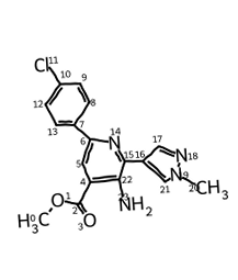 COC(=O)c1cc(-c2ccc(Cl)cc2)nc(-c2cnn(C)c2)c1N